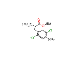 CCC(C)OC(=O)C(Cc1cc(Cl)c([N+](=O)[O-])cc1Cl)C(=O)O